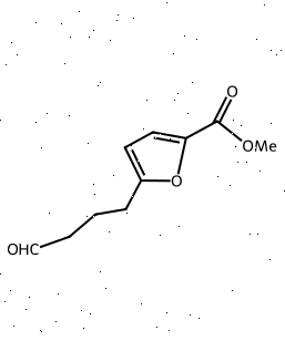 COC(=O)c1ccc(CCCC=O)o1